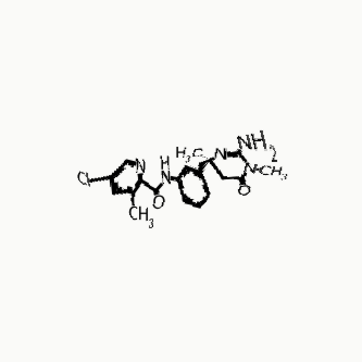 Cc1cc(Cl)cnc1C(=O)Nc1cccc([C@]2(C)CC(=O)N(C)C(N)=N2)c1